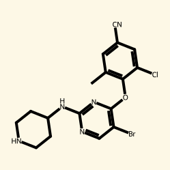 Cc1cc(C#N)cc(Cl)c1Oc1nc(NC2CCNCC2)ncc1Br